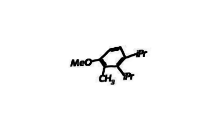 COc1ccc(C(C)C)c(C(C)C)c1C